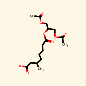 CC(=O)OCC(COC(C)=O)OC(=O)CCCCC(C)CC(=O)O